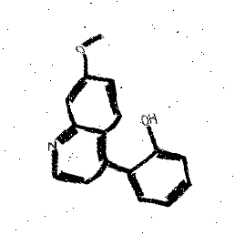 COc1ccc2c(-c3ccccc3O)ccnc2c1